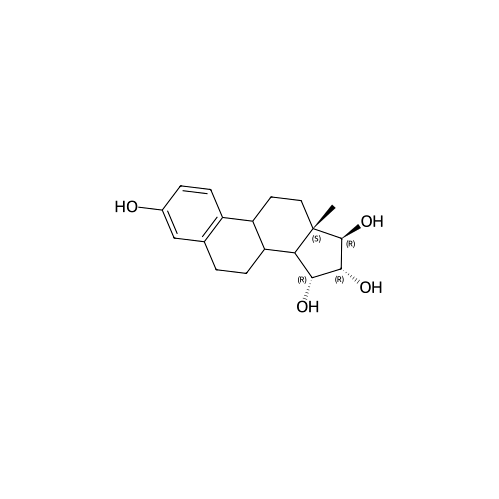 C[C@]12CCC3c4ccc(O)cc4CCC3C1[C@@H](O)[C@@H](O)[C@@H]2O